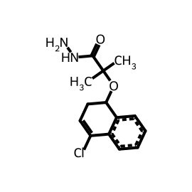 CC(C)(OC1CC=C(Cl)c2ccccc21)C(=O)NN